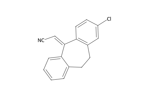 N#C/C=C1\c2ccccc2CCc2cc(Cl)ccc21